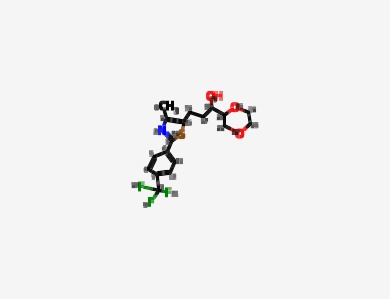 Cc1nc(-c2ccc(C(F)(F)F)cc2)sc1CCC(O)C1COCCO1